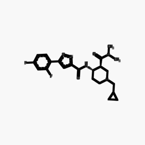 CN(C)C(=O)[C@H]1CN(CC2CC2)CC[C@@H]1NC(=O)c1cc(-c2ccc(F)cc2F)on1